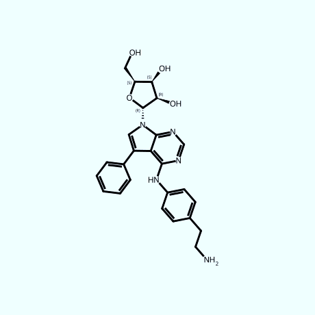 NCCc1ccc(Nc2ncnc3c2c(-c2ccccc2)cn3[C@@H]2O[C@@H](CO)[C@@H](O)[C@H]2O)cc1